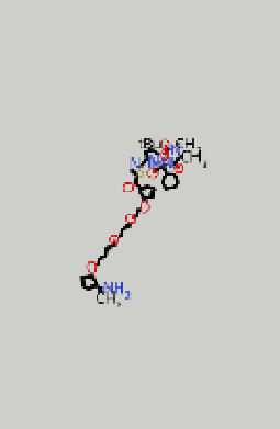 CC(N)c1cccc(OCCCCCOCCCOCCOc2cccc(C(=O)c3cnc(C4CCCN4C(=O)[C@@H](NC(=O)C(C)N(C)C(=O)OC(C)(C)C)C4CCCCC4)s3)c2)c1